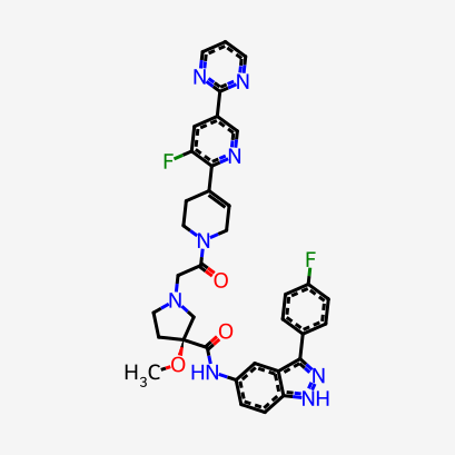 CO[C@@]1(C(=O)Nc2ccc3[nH]nc(-c4ccc(F)cc4)c3c2)CCN(CC(=O)N2CC=C(c3ncc(-c4ncccn4)cc3F)CC2)C1